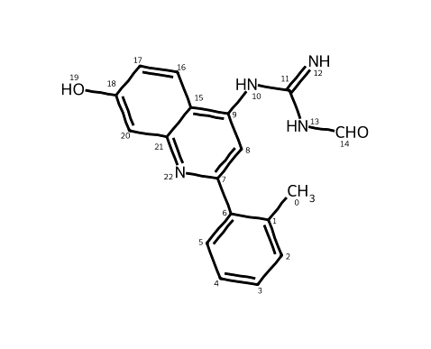 Cc1ccccc1-c1cc(NC(=N)NC=O)c2ccc(O)cc2n1